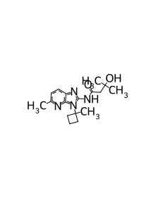 Cc1ccc2nc(NC(=O)CC(C)(C)O)n(C3(C)CCC3)c2n1